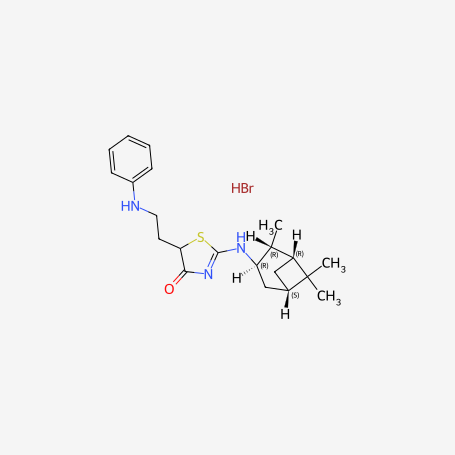 Br.C[C@@H]1[C@H]2C[C@@H](C[C@H]1NC1=NC(=O)C(CCNc3ccccc3)S1)C2(C)C